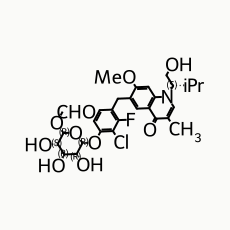 COc1cc2c(cc1Cc1ccc(O[C@@H]3O[C@H](OC=O)[C@@H](O)[C@H](O)[C@H]3O)c(Cl)c1F)c(=O)c(C)cn2[C@H](CO)C(C)C